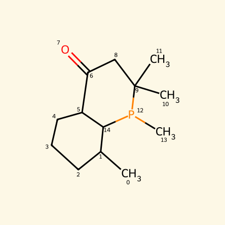 CC1CCCC2C(=O)CC(C)(C)P(C)C12